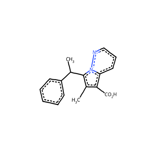 Cc1c(C(=O)O)c2cccnn2c1C(C)c1ccccc1